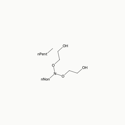 CCCCCC.CCCCCCCCCN(OCCO)OCCO